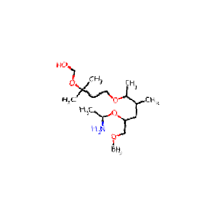 BOCC(CC(C)C(C)OCCC(C)(C)OCO)OC(C)N